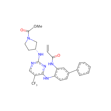 C=CC(=O)Nc1cc(-c2ccccc2)ccc1Nc1nc(N[C@@H]2CCN(C(=O)OC)C2)ncc1C(F)(F)F